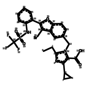 CCc1nc(C2CC2)c(C(=O)O)n1Cc1ccc2oc(-c3ccccc3NS(=O)(=O)C(F)(F)F)c(Br)c2c1